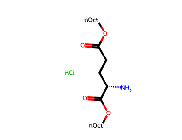 CCCCCCCCOC(=O)CC[C@H](N)C(=O)OCCCCCCCC.Cl